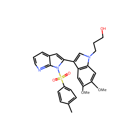 COc1cc2c(-c3cc4cccnc4n3S(=O)(=O)c3ccc(C)cc3)cn(CCCO)c2cc1OC